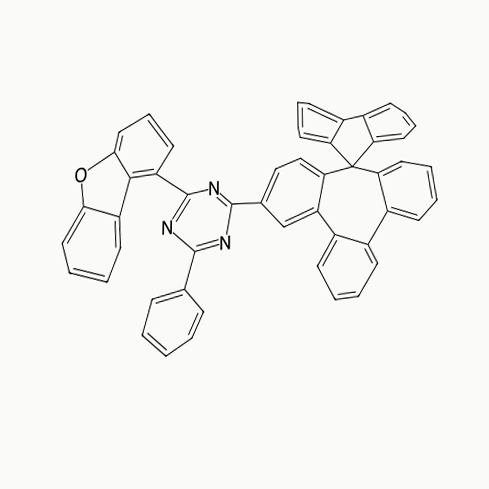 c1ccc(-c2nc(-c3ccc4c(c3)-c3ccccc3-c3ccccc3C43c4ccccc4-c4ccccc43)nc(-c3cccc4oc5ccccc5c34)n2)cc1